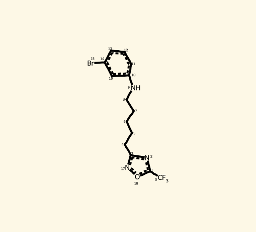 FC(F)(F)c1nc(CCCCCNc2cccc(Br)c2)no1